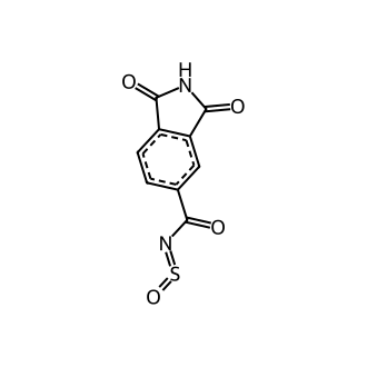 O=S=NC(=O)c1ccc2c(c1)C(=O)NC2=O